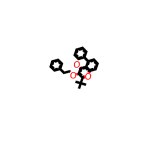 CC(C)(C)c1oc2cccc(-c3ccccc3)c2c(=O)c1OCCc1ccccc1